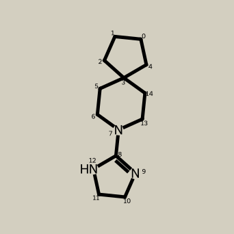 C1CCC2(C1)CCN(C1=NCCN1)CC2